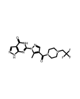 Cc1c(C(=O)N2CCN(CC(F)(F)F)CC2)cnn1-c1nc2[nH]ncc2c(=O)[nH]1